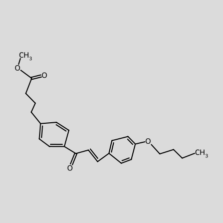 CCCCOc1ccc(C=CC(=O)c2ccc(CCCC(=O)OC)cc2)cc1